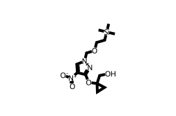 C[Si](C)(C)CCOCn1cc([N+](=O)[O-])c(OC2(CO)CC2)n1